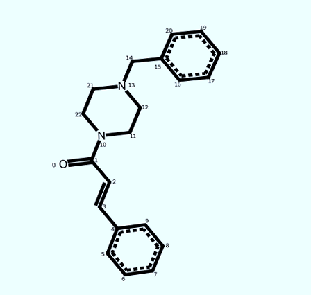 O=C(C=Cc1ccccc1)N1CCN(Cc2ccccc2)CC1